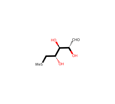 CSC[C@@H](O)[C@@H](O)[C@@H](O)C=O